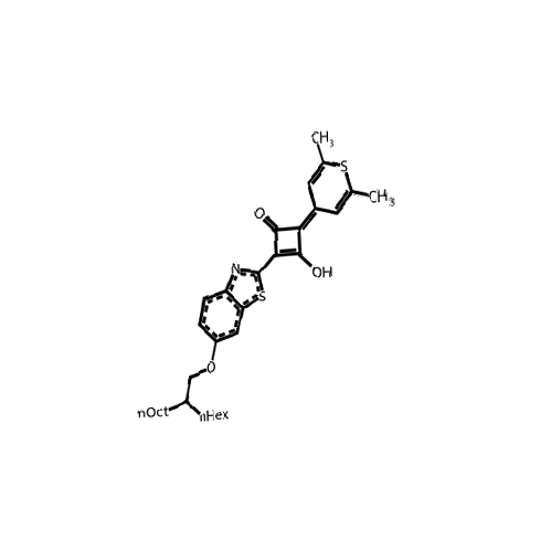 CCCCCCCCC(CCCCCC)COc1ccc2nc(C3=C(O)C(=C4C=C(C)SC(C)=C4)C3=O)sc2c1